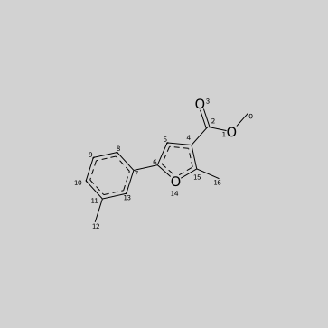 COC(=O)c1cc(-c2cccc(C)c2)oc1C